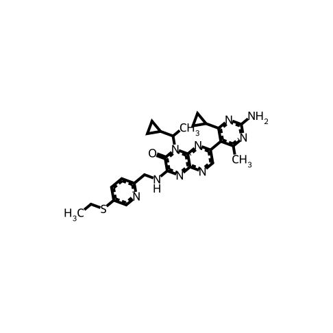 CCSc1ccc(CNc2nc3ncc(-c4c(C)nc(N)nc4C4CC4)nc3n(C(C)C3CC3)c2=O)nc1